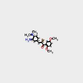 COc1ccc(OC)c(C(=O)C(Br)=Cc2ccc(N(C)C)c(N)c2)c1